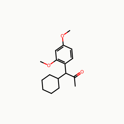 COc1ccc(C(C(C)=O)C2CCCCC2)c(OC)c1